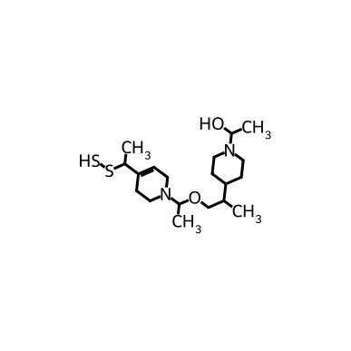 CC(SS)C1=CCN(C(C)OCC(C)C2CCN(C(C)O)CC2)CC1